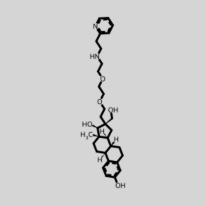 C[C@]12CC[C@@H]3c4ccc(O)cc4CC[C@H]3[C@@H]1C[C@@](CO)(CCOCCOCCNCCc1ccccn1)[C@@H]2O